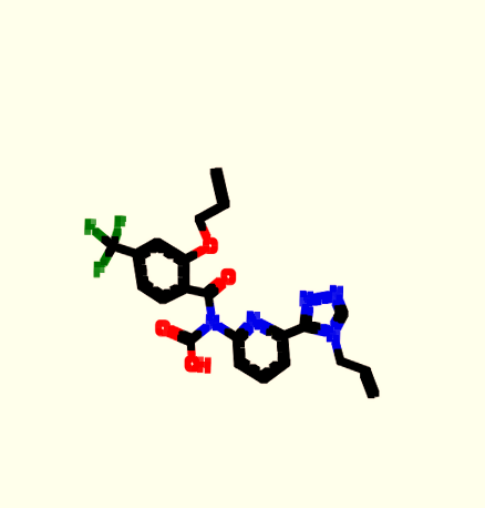 C=CCOc1cc(C(F)(F)F)ccc1C(=O)N(C(=O)O)c1cccc(-c2nncn2CC=C)n1